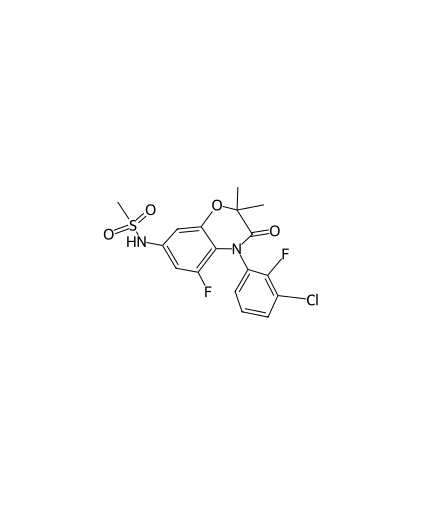 CC1(C)Oc2cc(NS(C)(=O)=O)cc(F)c2N(c2cccc(Cl)c2F)C1=O